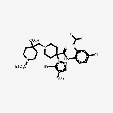 CCOC(=O)N1CCC(CN2CCC(C(=O)Nc3ccc(Cl)cc3OC(F)F)(n3ncc(OC)c3C(C)C)CC2)(C(=O)O)CC1